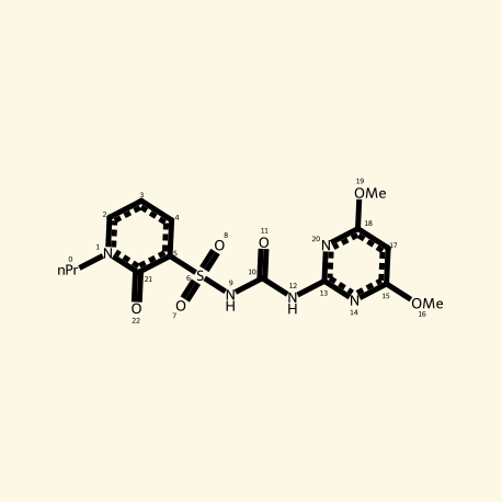 CCCn1cccc(S(=O)(=O)NC(=O)Nc2nc(OC)cc(OC)n2)c1=O